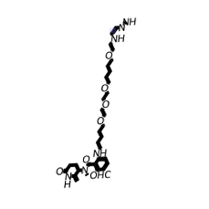 C=C1NC(=O)CCC1N(C)C(=O)c1c(C=O)cccc1NCCCCCOCCOCCOCCCCCOCCN/C=C\N=N